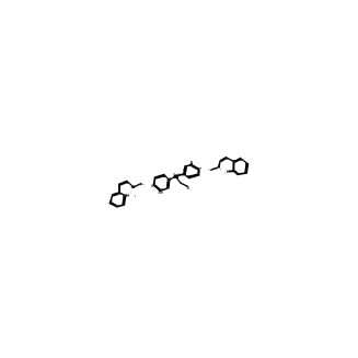 CC(CCC(=O)O)(c1ccc(OCc2ccc3ccccc3n2)c(Cl)c1)c1ccc(OCc2ccc3ccccc3n2)c(Cl)c1